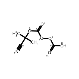 CC(C)(C#N)OC(=O)OOC(=O)O